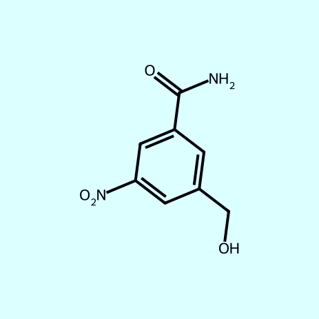 NC(=O)c1cc(CO)cc([N+](=O)[O-])c1